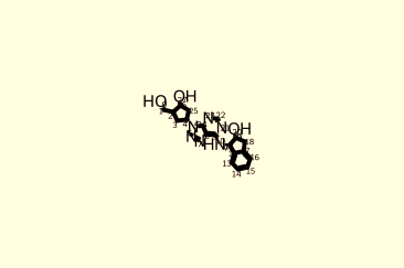 OCC1CC(n2nnc3c(N[C@@H]4c5ccccc5C[C@@H]4O)ncnc32)CC1O